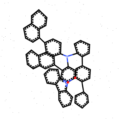 c1ccc(-c2ccc(-c3ccccc3N(c3ccc(-c4cccc5ccccc45)cc3)c3ccccc3-c3ccc4ccccc4c3)cc2-n2c3ccccc3c3ccccc32)cc1